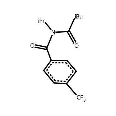 CCC(C)C(=O)N(C(=O)c1ccc(C(F)(F)F)cc1)C(C)C